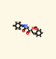 O=C(/C=C/c1ccccc1O)CC(=O)Nc1ccccc1